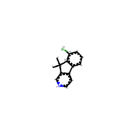 CC1(C)c2cnccc2-c2cccc(Br)c21